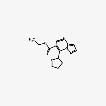 CCOC(=O)c1cnc2ccnn2c1C1CCCO1